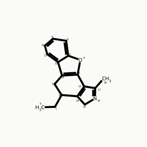 CCC1Cc2c(oc3ccccc23)C2=C1CN=C2C